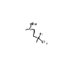 CCCCN(C)CCC(C)(N)CC